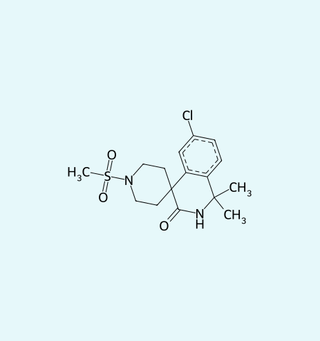 CC1(C)NC(=O)C2(CCN(S(C)(=O)=O)CC2)c2cc(Cl)ccc21